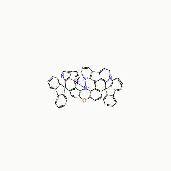 c1ccc2c(c1)-c1ccccc1C21c2ccc3c4c2B2c5c(ccnc51)-c1ccc[n+](c12)[N+]41c2c(ccc4c2B2c5c(ccnc5C45c4ccccc4-c4ccccc45)-c4ccc[n+]1c42)O3